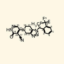 C[C@@H](c1ccccc1C(F)(F)F)n1nnc2c1CCN(c1cn[nH]c(=O)c1C#N)C2